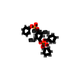 COP(=O)(Oc1ccccc1)Oc1cc(C(C)(C)C)c(OP(=O)(Oc2ccccc2)Oc2ccccc2)cc1C(C)(C)C